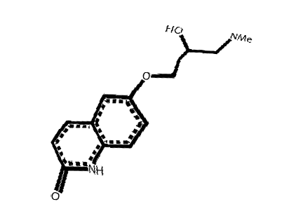 CNCC(O)COc1ccc2[nH]c(=O)ccc2c1